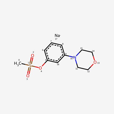 CS(=O)(=O)Oc1cccc(N2CCOCC2)c1.[Na]